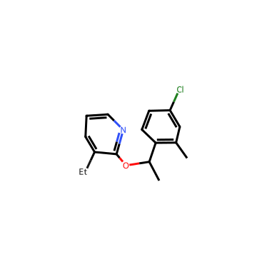 CCc1cccnc1OC(C)c1ccc(Cl)cc1C